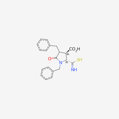 N=C(S)[C@H]1[C@H](C(=O)O)C(Cc2ccccc2)C(=O)N1Cc1ccccc1